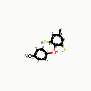 Cc1cc(F)c(Oc2ccc(C#N)cc2)c(F)c1